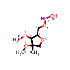 COC1(C)CO[C@H](COPO)C1OP